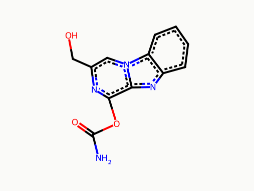 NC(=O)Oc1nc(CO)cn2c1nc1ccccc12